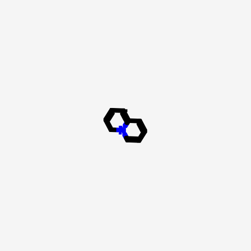 [C]1=C2C=CC=CN2CC=C1